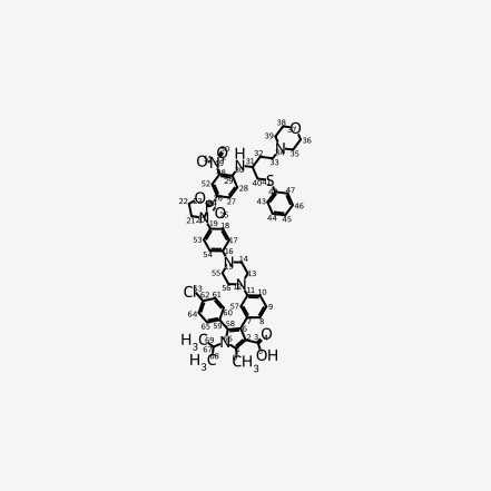 Cc1c(C(=O)O)c(-c2cccc(N3CCN(c4ccc(N5CCO[P@]5(=O)c5ccc(NC(CCN6CCOCC6)CSc6ccccc6)c([N+](=O)[O-])c5)cc4)CC3)c2)c(-c2ccc(Cl)cc2)n1C(C)C